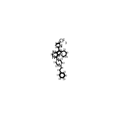 FC(F)(F)c1csc(-c2c3n(c4c(N5CCN(CCc6ccccc6)CC5)ncnc24)CCCC3)n1